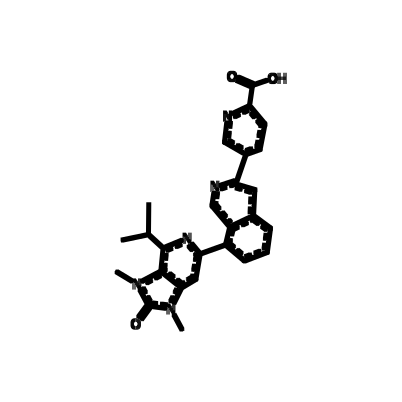 CC(C)c1nc(-c2cccc3cc(-c4ccc(C(=O)O)nc4)ncc23)cc2c1n(C)c(=O)n2C